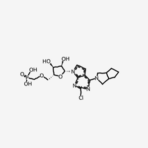 O=P(O)(O)COC[C@H]1O[C@@H](n2ccc3c(N4CC5CCCC5C4)nc(Cl)nc32)[C@H](O)[C@@H]1O